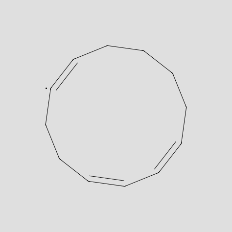 [C]1=CCCCCC=CC=CCC1